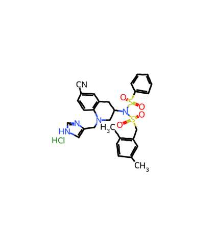 Cc1ccc(C)c(CS(=O)(=O)N(C2Cc3cc(C#N)ccc3N(Cc3c[nH]cn3)C2)S(=O)(=O)c2ccccc2)c1.Cl